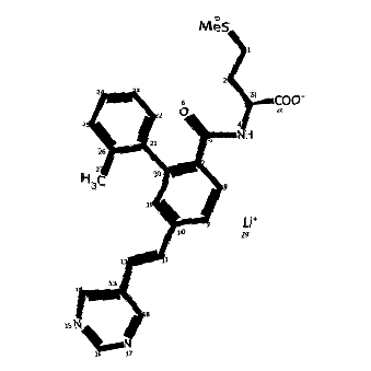 CSCC[C@H](NC(=O)c1ccc(C=Cc2cncnc2)cc1-c1ccccc1C)C(=O)[O-].[Li+]